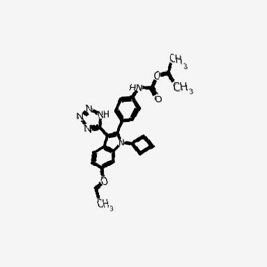 CCOc1ccc2c(-c3nnn[nH]3)c(-c3ccc(NC(=O)OC(C)C)cc3)n(C3CCC3)c2c1